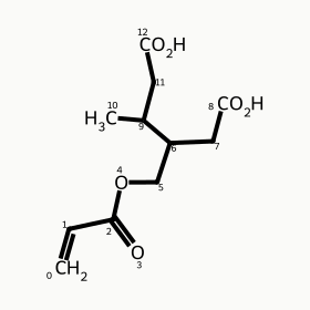 C=CC(=O)OCC(CC(=O)O)C(C)CC(=O)O